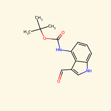 CC(C)(C)OC(=O)Nc1cccc2[nH]cc(C=O)c12